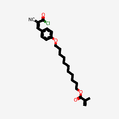 C=C(C)C(=O)OCCCCCCCCCCCOc1ccc(C=C(C#N)C(=O)Cl)cc1